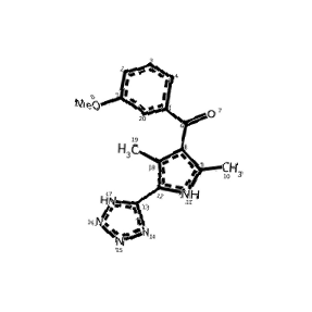 COc1cccc(C(=O)c2c(C)[nH]c(-c3nnn[nH]3)c2C)c1